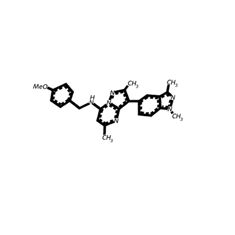 COc1ccc(CNc2cc(C)nc3c(-c4ccc5c(c4)c(C)nn5C)c(C)nn23)cc1